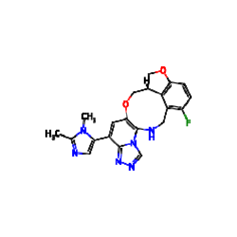 Cc1ncc(-c2cc3c(n4cnnc24)NCc2c(F)ccc4c2[C@@H](CO4)CO3)n1C